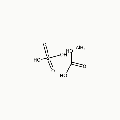 O=C(O)O.O=S(=O)(O)O.[AlH3]